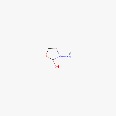 CNN1CCOC1O